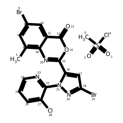 CS(=O)(=O)Cl.Cc1cc(Br)cc2c(=O)oc(-c3cc(Br)nn3-c3ncccc3Cl)nc12